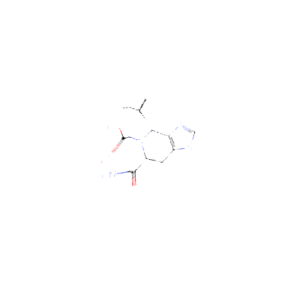 CC(C)[C@H]1c2nc[nH]c2C[C@@H](C(N)=O)N1C(=O)O